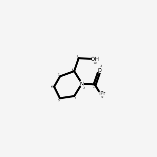 CC(C)C(=O)N1CCCCC1CO